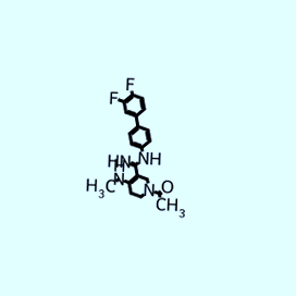 CNC1=C(C(=N)Nc2ccc(-c3ccc(F)c(F)c3)cc2)CN(C(C)=O)CC1